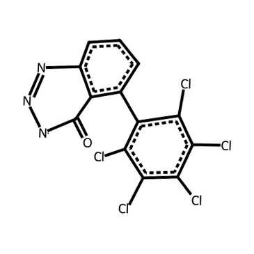 O=C1[N]N=Nc2cccc(-c3c(Cl)c(Cl)c(Cl)c(Cl)c3Cl)c21